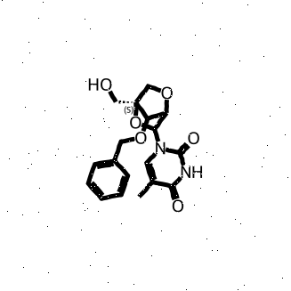 Cc1cn(C2O[C@@]3(CO)COC2C3OCc2ccccc2)c(=O)[nH]c1=O